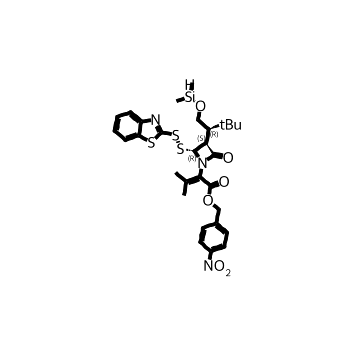 CC(C)=C(C(=O)OCc1ccc([N+](=O)[O-])cc1)N1C(=O)[C@H]([C@@H](CO[SiH](C)C)C(C)(C)C)[C@H]1SSc1nc2ccccc2s1